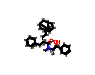 C[C@@H]([C@@H](O)c1ccccc1)N(C)C(=O)[C@@H](CCC12CC3CC(CC(C3)C1)C2)Cc1ccccc1